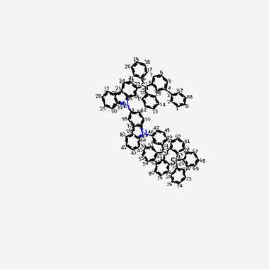 c1ccc(-c2cccc([Si](c3ccccc3)(c3ccccc3)c3ccc4c5ccccc5n(-c5ccc6c(c5)c5ccccc5n6-c5cccc([Si]6(c7ccccc7)c7ccccc7[Si](c7ccccc7)(c7ccccc7)c7ccccc76)c5)c4c3)c2)cc1